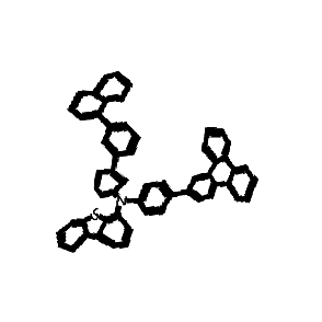 c1cc(-c2cccc(N(c3ccc(-c4ccc5c6ccccc6c6ccccc6c5c4)cc3)c3cccc4c3sc3ccccc34)c2)cc(-c2cccc3ccccc23)c1